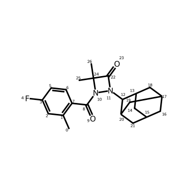 Cc1cc(F)ccc1C(=O)N1N(C2C3CC4CC(C3)CC2C4)C(=O)C1(C)C